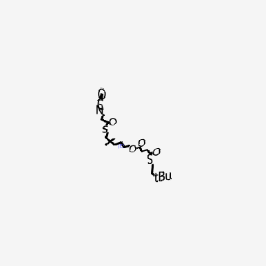 CC(C)(C)CCSC(=O)CCC(=O)OC/C=C/CC(C)(C)CCSC(=O)CCN=C=O